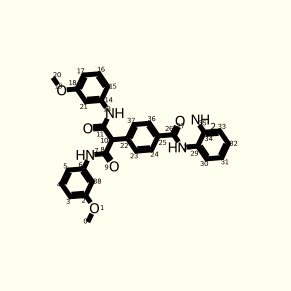 COc1cccc(NC(=O)C(C(=O)Nc2cccc(OC)c2)c2ccc(C(=O)Nc3ccccc3N)cc2)c1